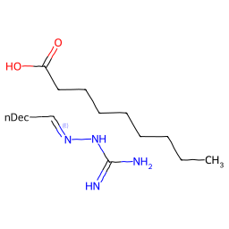 CCCCCCCCC(=O)O.CCCCCCCCCC/C=N/NC(=N)N